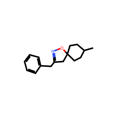 CC1CCC2(CC1)CC(Cc1ccccc1)=NO2